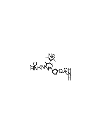 CCC(=O)NC1CN(c2nc(-c3cccc(OCC(O)CNC)c3)nc(-c3c(C)noc3C)c2C)C1